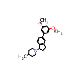 COc1cc(OC)cc(-c2ccc3c(c2)CCC3N2CCC(C)CC2)c1